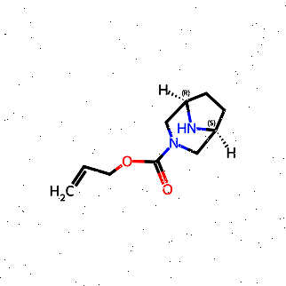 C=CCOC(=O)N1C[C@H]2CC[C@@H](C1)N2